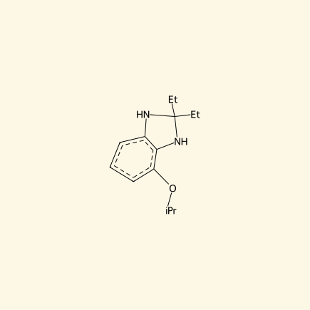 CCC1(CC)Nc2cccc(OC(C)C)c2N1